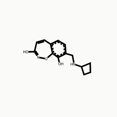 OC1=NOc2c(ccc(CNC3CCC3)c2O)C=C1